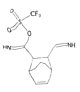 N=CC1C2C=CC(C2)C1C(=N)OS(=O)(=O)C(F)(F)F